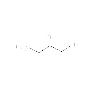 CCCCCCC(=O)O.[NaH]